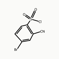 N#Cc1cc(Br)ccc1S(=O)(=O)Cl